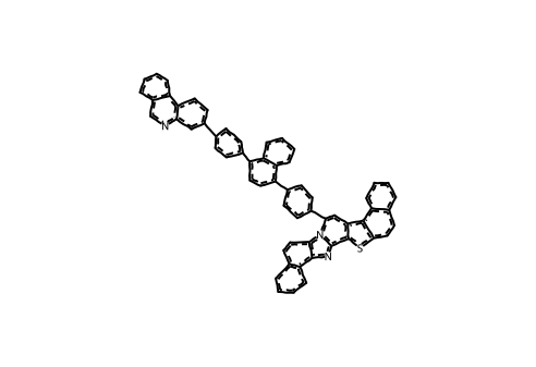 c1ccc2c(c1)cnc1cc(-c3ccc(-c4ccc(-c5ccc(-c6cc7c(sc8ccc9ccccc9c87)c7nc8c9ccccc9ccc8n67)cc5)c5ccccc45)cc3)ccc12